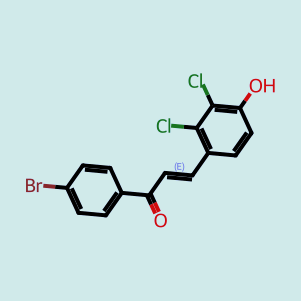 O=C(/C=C/c1ccc(O)c(Cl)c1Cl)c1ccc(Br)cc1